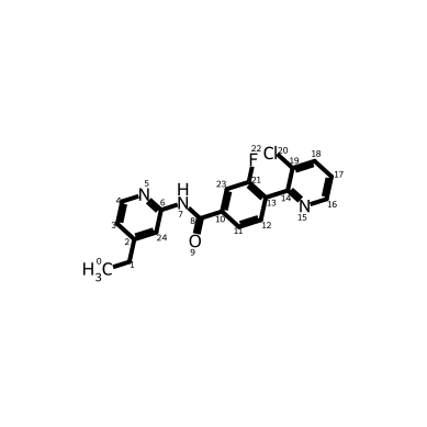 CCc1ccnc(NC(=O)c2ccc(-c3ncccc3Cl)c(F)c2)c1